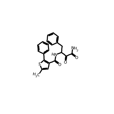 Cc1cc(C(=O)NC(Cc2ccccc2)C(=O)C(N)=O)c(-c2ccccc2)s1